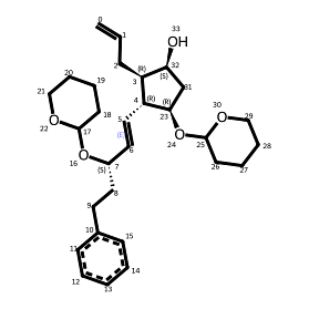 C=CC[C@@H]1[C@@H](/C=C/[C@H](CCc2ccccc2)OC2CCCCO2)[C@H](OC2CCCCO2)C[C@@H]1O